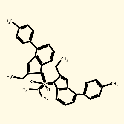 CCC1=Cc2c(cccc2-c2ccc(C)cc2)[C]1=[Zr]([Cl])([Cl])(=[C]1C(CC)=Cc2c1cccc2-c1ccc(C)cc1)=[Si](C)C